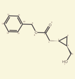 O=C(C[C@@H]1C[C@H]1CO)OCc1ccccc1